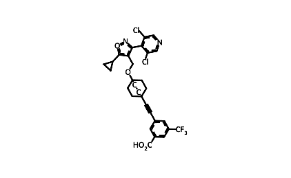 O=C(O)c1cc(C#CC23CCC(OCc4c(-c5c(Cl)cncc5Cl)noc4C4CC4)(CC2)CC3)cc(C(F)(F)F)c1